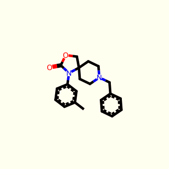 Cc1cccc(N2C(=O)OCC23CCN(Cc2ccccc2)CC3)c1